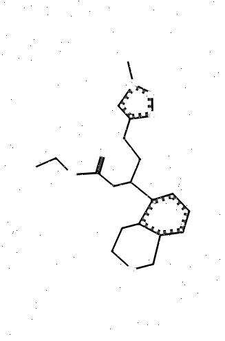 CCOC(=O)CC(CCc1cn(C)nn1)c1cccc2c1CCNC2